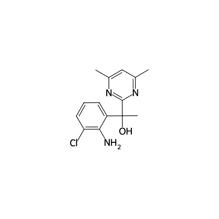 Cc1cc(C)nc(C(C)(O)c2cccc(Cl)c2N)n1